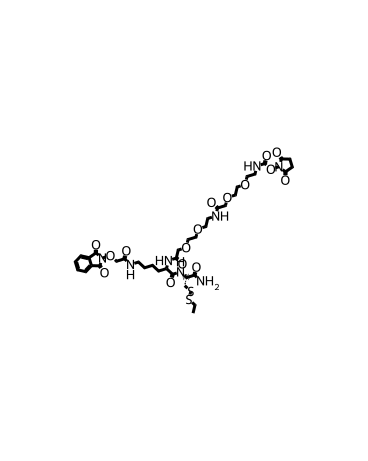 CCSSC[C@H](NC(=O)C(CCCCNC(=O)CON1C(=O)c2ccccc2C1=O)NC(=O)COCCOCCNC(=O)COCCOCCNC(=O)ON1C(=O)CCC1=O)C(N)=O